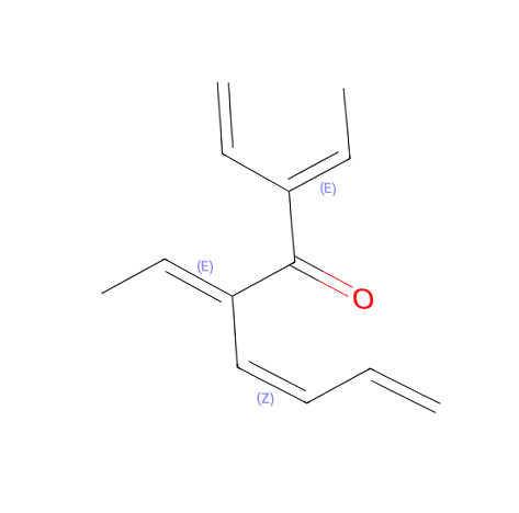 C=C/C=C\C(=C/C)C(=O)/C(C=C)=C/C